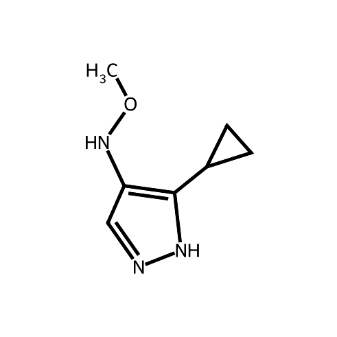 CONc1cn[nH]c1C1CC1